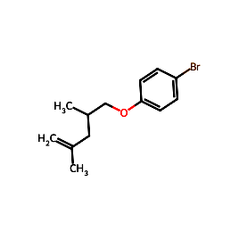 C=C(C)CC(C)COc1ccc(Br)cc1